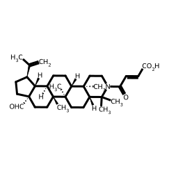 C=C(C)[C@@H]1CC[C@]2(C=O)CC[C@]3(C)[C@H](CC[C@@H]4[C@@]5(C)CCN(C(=O)/C=C/C(=O)O)C(C)(C)[C@@H]5CC[C@]43C)[C@@H]12